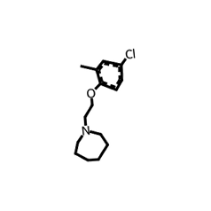 Cc1cc(Cl)ccc1OCCN1CCCCCC1